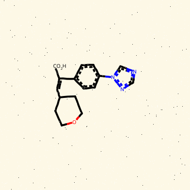 O=C(O)C(=CC1CCOCC1)c1ccc(-n2cncn2)cc1